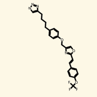 FC(F)(F)Oc1ccc(/C=C/c2nc(COc3ccc(CCCCC4=C[N]N=N4)cc3)co2)cc1